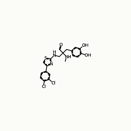 CNC(C=O)(CNc1nc(-c2ccc(Cl)c(Cl)c2)cs1)Cc1ccc(O)c(O)c1